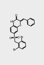 O=C1Nc2ccc(S(=O)(=O)Cc3c(Br)cccc3Br)cc2S/C1=C\c1ccccc1